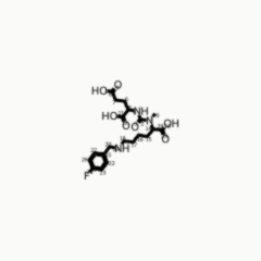 CN(C(=O)NC(CCC(=O)O)C(=O)O)C(CCCCNCc1ccc(F)cc1)C(=O)O